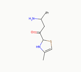 CC1=CSC(C(=O)CC(N)C(C)C)N1